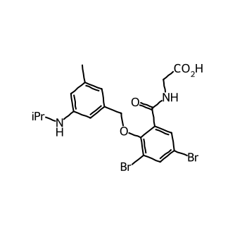 Cc1cc(COc2c(Br)cc(Br)cc2C(=O)NCC(=O)O)cc(NC(C)C)c1